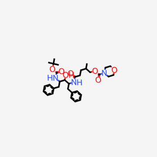 CC(CCC(=O)NC(Cc1ccccc1)C(O)C(Cc1ccccc1)NC(=O)OC(C)(C)C)COC(=O)N1CCOCC1